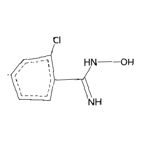 N=C(NO)c1cc[c]cc1Cl